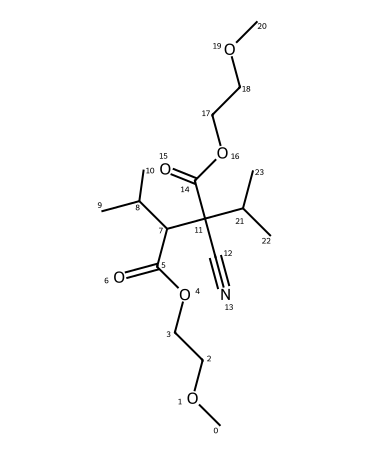 COCCOC(=O)C(C(C)C)C(C#N)(C(=O)OCCOC)C(C)C